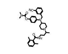 Cc1cccc(C)c1C(=O)NCCC(C)N1CCC(N(Cc2cccc(C#N)c2)c2ccc(OC(=O)N(C)C)cc2)CC1